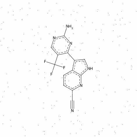 N#Cc1ccc2c(-c3nc(N)ncc3C(F)(F)F)c[nH]c2n1